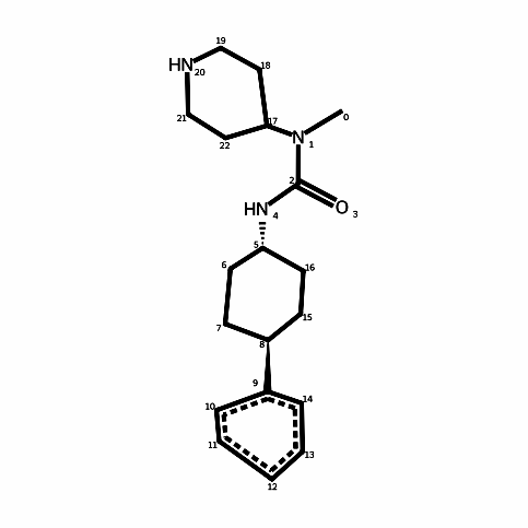 CN(C(=O)N[C@H]1CC[C@H](c2ccccc2)CC1)C1CCNCC1